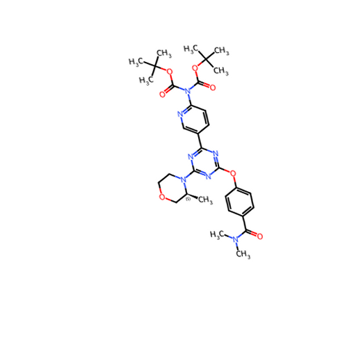 C[C@H]1COCCN1c1nc(Oc2ccc(C(=O)N(C)C)cc2)nc(-c2ccc(N(C(=O)OC(C)(C)C)C(=O)OC(C)(C)C)nc2)n1